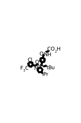 CC(C)C1CCC2(CC1)N=C(c1cc(Cl)cc(C(F)(F)F)c1)C(=O)N2[C@H](CCC(C)(C)C)c1ccc(C(=O)NCCC(=O)O)cc1